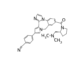 CN(C)C[C@@H]1CCCN1C(=O)c1ccc2c(c1)Cn1cc(-c3ccc(C#N)cc3)cc1-c1nccn1-2